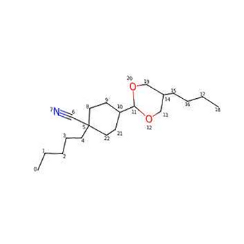 CCCCCC1(C#N)CCC(C2OCC(CCCC)CO2)CC1